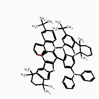 CC(C)(C)c1ccc(N2B3c4cc(C(C)(C)C)cc5c4N(c4cc(N(c6ccccc6)c6ccccc6)cc(c43)-c3c2ccc2c3sc3cc4c(cc32)C(C)(C)CCC4(C)C)C2(C)CCCCC52C)c(-c2ccccc2)c1